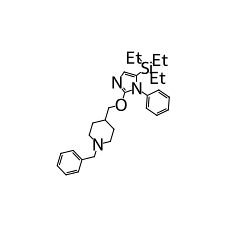 CC[Si](CC)(CC)c1cnc(OCC2CCN(Cc3ccccc3)CC2)n1-c1ccccc1